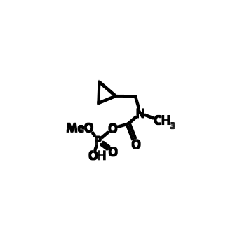 COP(=O)(O)OC(=O)N(C)CC1CC1